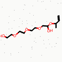 C=CC(C)OC(O)COCCOCCOCCO